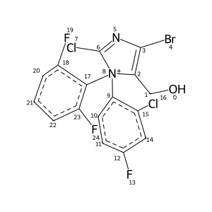 OCC1=C(Br)N=C(Cl)[N+]1(c1ccc(F)cc1Cl)c1c(F)cccc1F